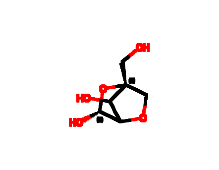 OC[C@]12COC(C1O)[C@H](O)O2